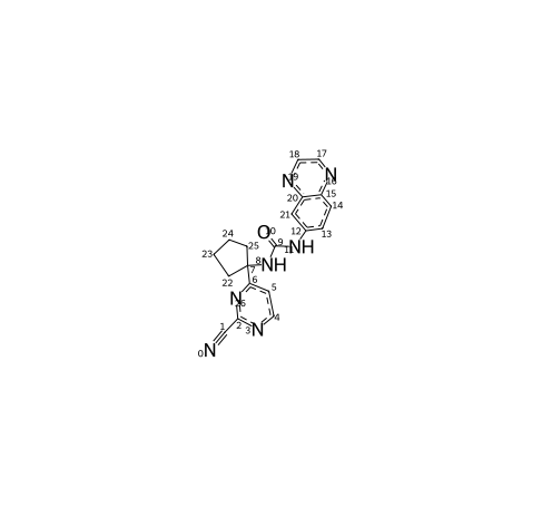 N#Cc1nccc(C2(NC(=O)Nc3ccc4nccnc4c3)CCCC2)n1